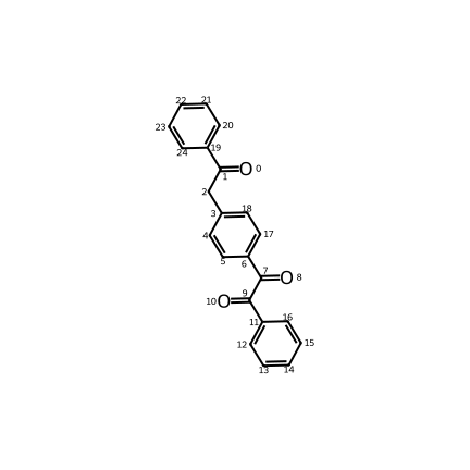 O=C(Cc1ccc(C(=O)C(=O)c2ccccc2)cc1)c1ccccc1